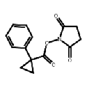 O=C1CCC(=O)N1OC(=O)C1(c2ccccc2)CC1